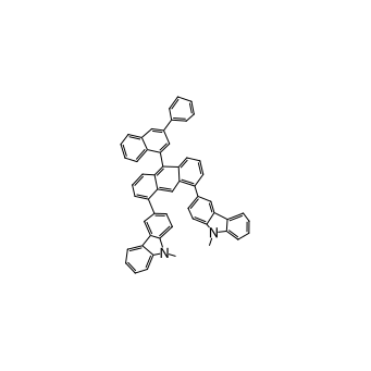 Cn1c2ccccc2c2cc(-c3cccc4c(-c5cc(-c6ccccc6)cc6ccccc56)c5cccc(-c6ccc7c(c6)c6ccccc6n7C)c5cc34)ccc21